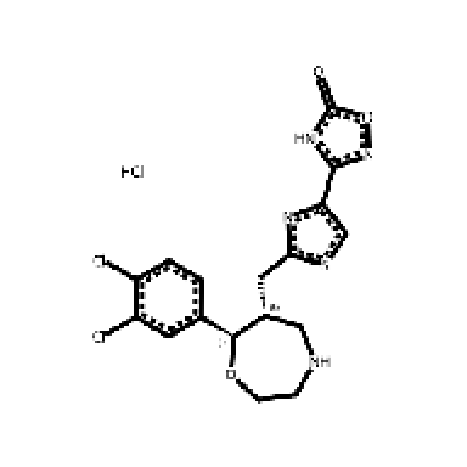 Cl.O=c1[nH]c(-c2csc(C[C@@H]3CNCCO[C@H]3c3ccc(Cl)c(Cl)c3)n2)no1